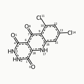 O=c1[nH][nH]c(=O)c2c(=O)c3c(Cl)cc(Cl)cc3[nH]c12